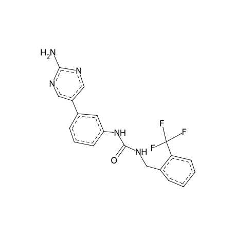 Nc1ncc(-c2cccc(NC(=O)NCc3ccccc3C(F)(F)F)c2)cn1